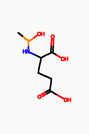 CP(O)NC(CCC(=O)O)C(=O)O